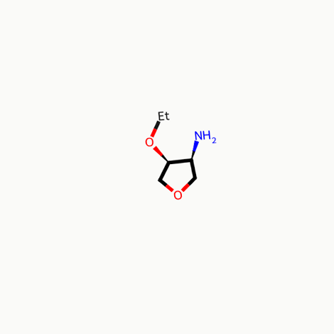 CCO[C@@H]1COC[C@@H]1N